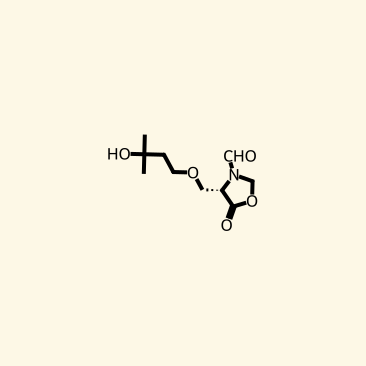 CC(C)(O)CCOC[C@H]1C(=O)OCN1C=O